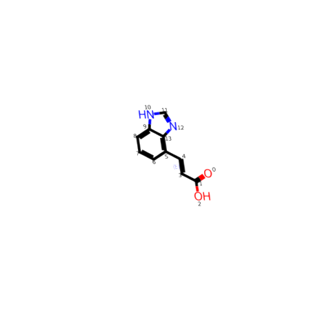 O=C(O)/C=C/c1cccc2[nH]cnc12